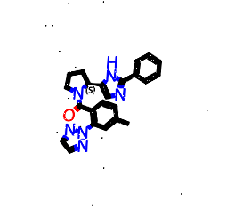 Cc1ccc(C(=O)N2CCC[C@H]2c2cnc(-c3ccccc3)[nH]2)c(-n2nccn2)c1